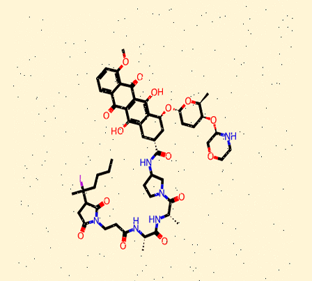 CCCCC(C)(I)C1CC(=O)N(CCC(=O)N[C@@H](C)C(=O)N[C@@H](C)C(=O)N2CCC(NC(=O)[C@@H]3Cc4c(O)c5c(c(O)c4[C@@H](O[C@H]4CC[C@H](O[C@@H]6COCCN6)[C@H](C)O4)C3)C(=O)c3c(OC)cccc3C5=O)C2)C1=O